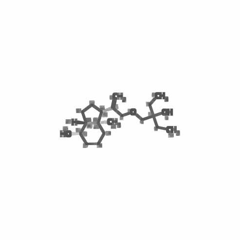 C=C(COCC(O)(CC)CC)[C@H]1CC[C@H]2[C@@H](O)CCC[C@]12C